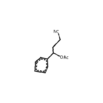 CC(=O)OC(CCC#N)c1ccccc1